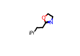 CC(C)CCC1=NCCO1